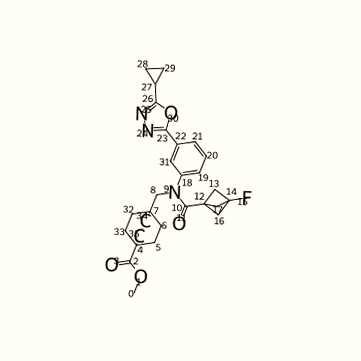 COC(=O)C12CCC(CN(C(=O)C34CC(F)(C3)C4)c3cccc(-c4nnc(C5CC5)o4)c3)(CC1)CC2